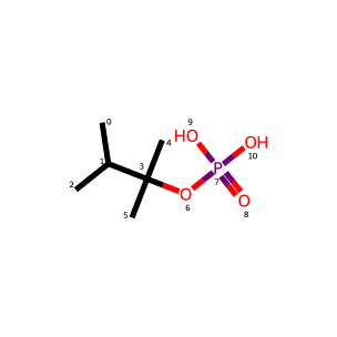 CC(C)C(C)(C)OP(=O)(O)O